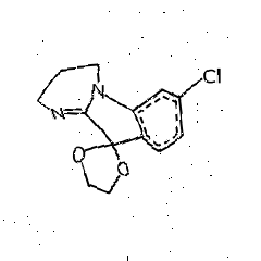 Clc1ccc2c(c1)N1CCCN=C1C21OCCO1